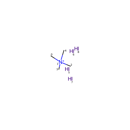 C[N+](C)(C)C.I.I.I.I